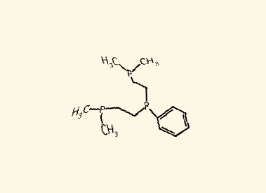 CP(C)CCP(CCP(C)C)c1ccccc1